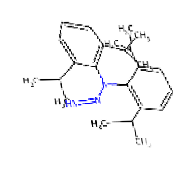 CC(C)c1cccc(C(C)C)c1N(N=N)c1c(C(C)C)cccc1C(C)C